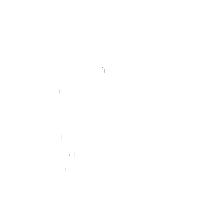 C/[C](c1ccccc1)=[Zr+2](/[C]1=C(C(C)C)C(C(C)C)=CC1)[CH]1C=Cc2ccccc21.[Cl-].[Cl-]